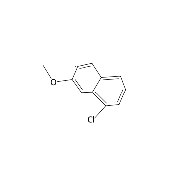 COc1[c]cc2cccc(Cl)c2c1